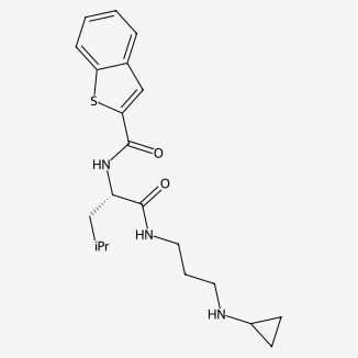 CC(C)C[C@H](NC(=O)c1cc2ccccc2s1)C(=O)NCCCNC1CC1